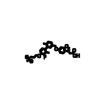 Cc1ccc(COc2ccc3c(c2)OC[C@H]3CC(=O)O)cc1-c1ccc(OCCCS(C)(=O)=O)c(F)c1C